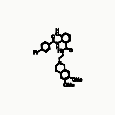 COc1cc2c(cc1OC)CN(CCNC(=O)c1cccc(O)c1NC(=O)c1ccc(C(C)C)cc1)CC2